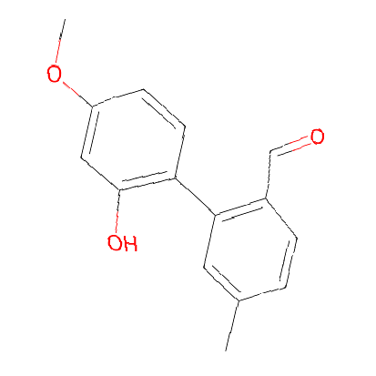 COc1ccc(-c2cc(C)ccc2C=O)c(O)c1